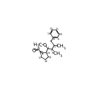 COC(C(C)C(C)Cc1ccccc1)C1CCCN1C=O